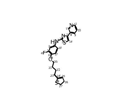 Fc1cc(Nc2nc(-c3cccnc3)cs2)ccc1OCCCCC1=CCCS1